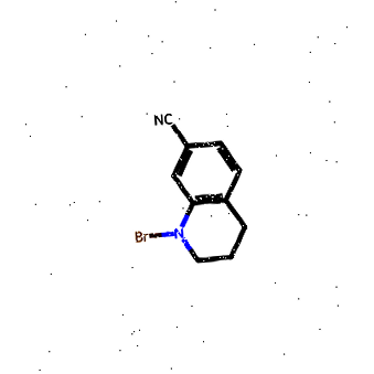 N#Cc1ccc2c(c1)N(Br)CCC2